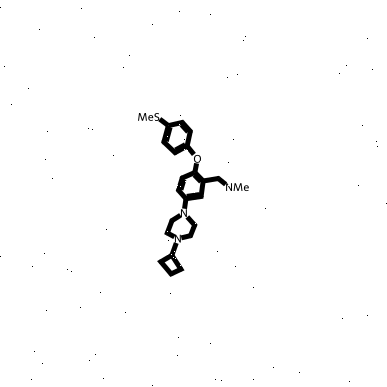 CNCc1cc(N2CCN(C3CCC3)CC2)ccc1Oc1ccc(SC)cc1